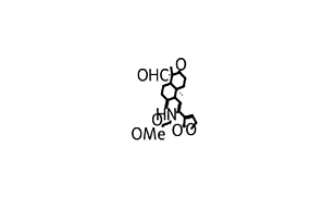 C=C1CCC2[C@@](C)(CCC(=O)[C@@]2(C)C=O)C1C=C(NCC(=O)OC)C1=CCOC1=O